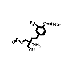 CCCCCCCOc1ccc(CC[C@@](N)(CO)COP=O)cc1C(F)(F)F